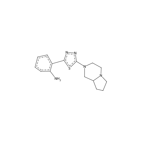 Nc1ccccc1-c1nnc(N2CCN3CCCC3C2)s1